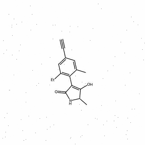 C#Cc1cc(C)c(C2=C(O)C(C)NC2=O)c(CC)c1